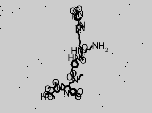 CCCN(CCc1c2c(nc3cc4c(cc13)OCO4)-c1cc3c(c(=O)n1C2)COC(=O)[C@]3(O)CC)C(=O)OCc1ccc(NC(=O)[C@H](CCCCN)NC(=O)CCCCCn2cc(-c3cnc(S(C)(=O)=O)nc3)nn2)cc1